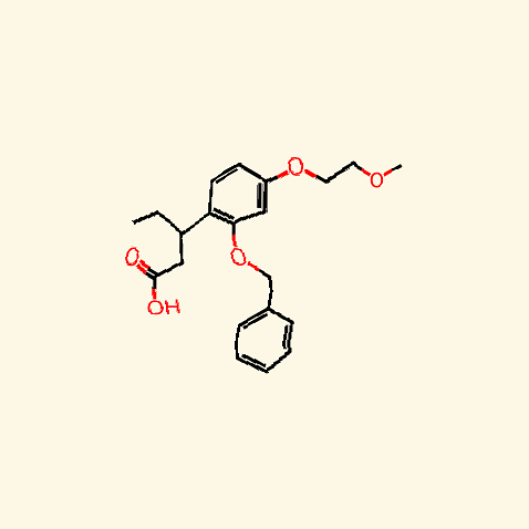 CCC(CC(=O)O)c1ccc(OCCOC)cc1OCc1ccccc1